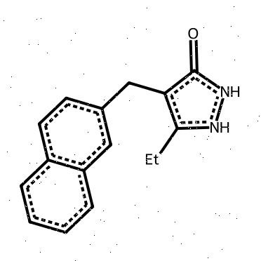 CCc1[nH][nH]c(=O)c1Cc1ccc2ccccc2c1